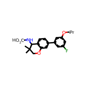 CC(C)Oc1cc(F)cc(-c2ccc3c(c2)OCC(C)(C)C3NC(=O)O)c1